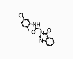 Cc1ccc(Cl)cc1NC(=O)Cn1cnc2ccccc2c1=O